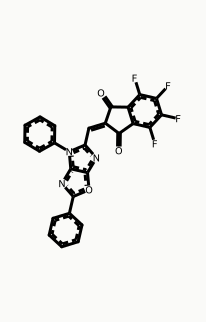 O=C1C(=Cc2nc3oc(-c4ccccc4)nc3n2-c2ccccc2)C(=O)c2c(F)c(F)c(F)c(F)c21